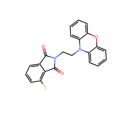 O=C1c2cccc(F)c2C(=O)N1CCN1c2ccccc2Oc2ccccc21